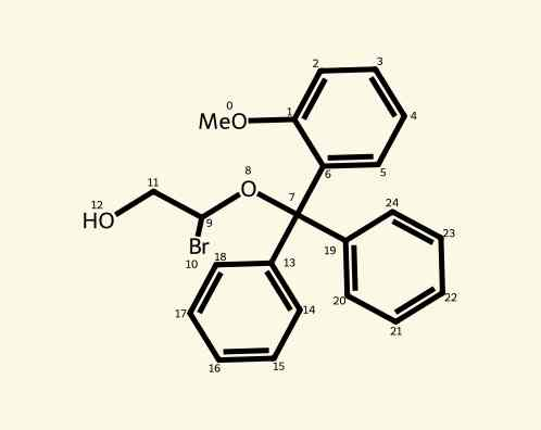 COc1ccccc1C(OC(Br)CO)(c1ccccc1)c1ccccc1